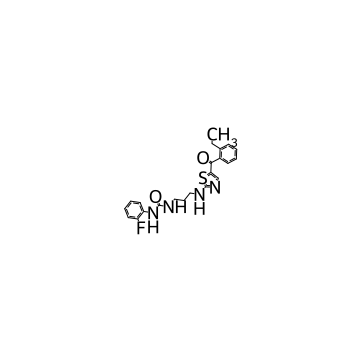 CCc1ccccc1C(=O)c1cnc(NCCCNC(=O)Nc2ccccc2F)s1